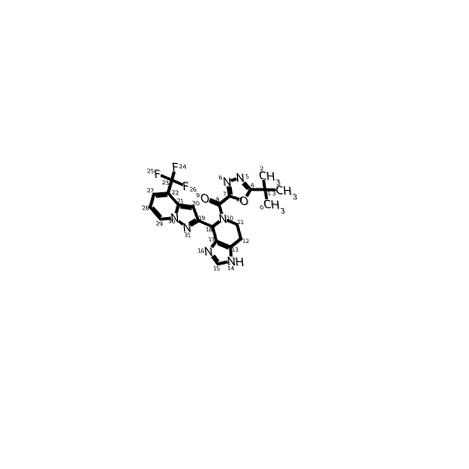 CC(C)(C)c1nnc(C(=O)N2CCc3[nH]cnc3C2c2cc3c(C(F)(F)F)cccn3n2)o1